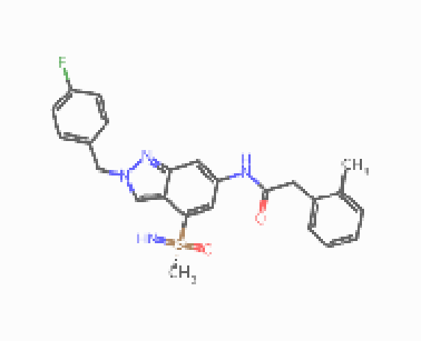 Cc1ccccc1CC(=O)Nc1cc([S@](C)(=N)=O)c2cn(Cc3ccc(F)cc3)nc2c1